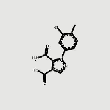 Cc1ccc(-n2ncc(C(=O)O)c2C(N)=O)cc1Cl